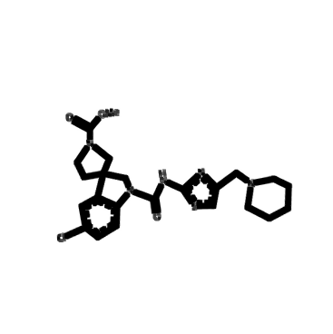 COC(=O)N1CCC2(C1)CN(C(=O)Nc1nc(CN3CCCCC3)cs1)c1ccc(Cl)cc12